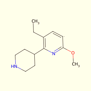 CCc1c[c]c(OC)nc1C1CCNCC1